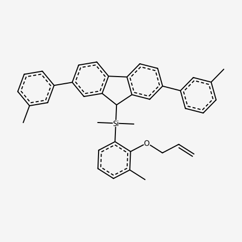 C=CCOc1c(C)cccc1[Si](C)(C)C1c2cc(-c3cccc(C)c3)ccc2-c2ccc(-c3cccc(C)c3)cc21